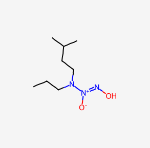 CCCN(CCC(C)C)/[N+]([O-])=N/O